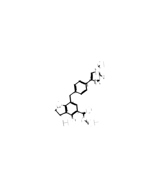 COC(=O)c1cc(Cc2ccc(-c3cn(C)nn3)cc2)c2c(c1O)CCO2